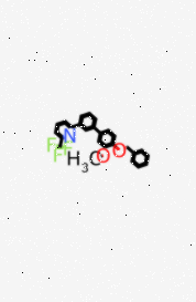 COc1cc(-c2cccc(-c3cccc(C(F)(F)F)n3)c2)ccc1OCc1ccccc1